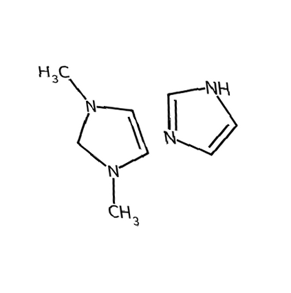 CN1C=CN(C)C1.c1c[nH]cn1